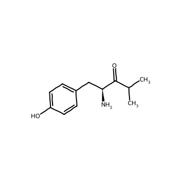 CC(C)C(=O)[C@@H](N)Cc1ccc(O)cc1